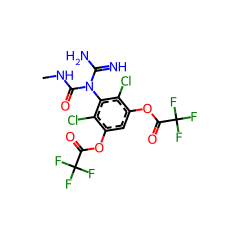 CNC(=O)N(C(=N)N)c1c(Cl)c(OC(=O)C(F)(F)F)cc(OC(=O)C(F)(F)F)c1Cl